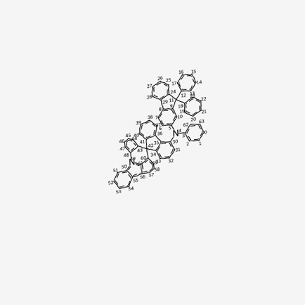 c1ccc(N(c2ccc3c(c2)C(c2ccccc2)(c2ccccc2)c2ccccc2-3)c2cccc3c2-c2ccccc2C32c3ccccc3-n3c4ccccc4c4cccc2c43)cc1